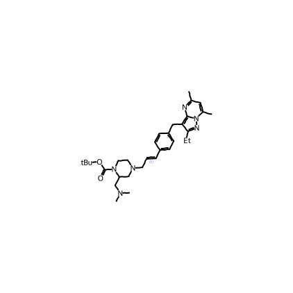 CCc1nn2c(C)cc(C)nc2c1Cc1ccc(/C=C/CN2CCN(C(=O)OC(C)(C)C)C(CN(C)C)C2)cc1